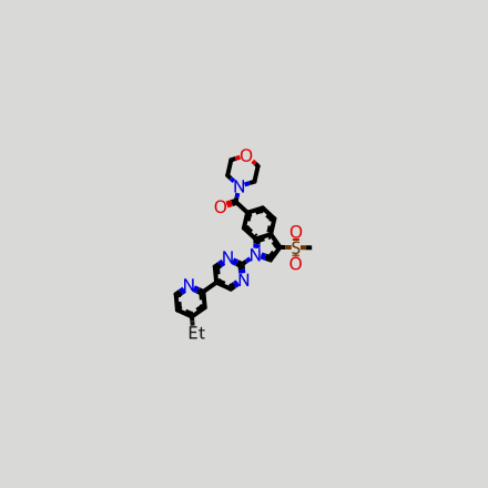 CCc1ccnc(-c2cnc(-n3cc(S(C)(=O)=O)c4ccc(C(=O)N5CCOCC5)cc43)nc2)c1